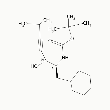 CC(C)C#C[C@@H](O)[C@H](CC1CCCCC1)NC(=O)OC(C)(C)C